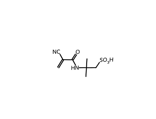 C=C(C#N)C(=O)NC(C)(C)CS(=O)(=O)O